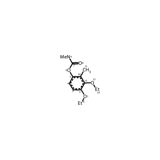 CCOc1ccc(OC(=O)NC)c(C)c1OCC